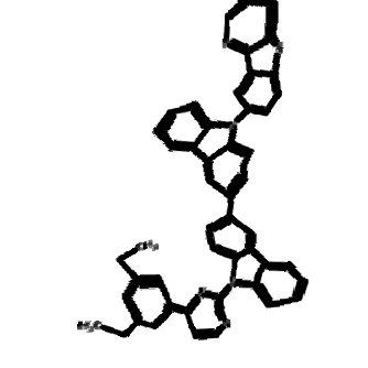 CCc1cc(CC)cc(-c2ccnc(-n3c4ccccc4c4cc(-c5ccc6c(c5)c5ccccc5n6-c5ccc6sc7cccnc7c6c5)ccc43)n2)c1